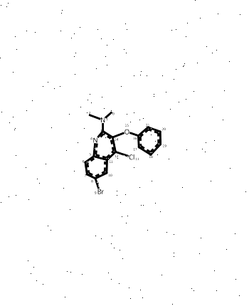 CN(C)c1nc2ccc(Br)cc2c(Cl)c1Oc1ccccc1